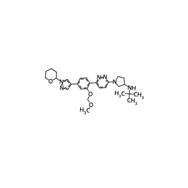 COCOc1cc(-c2cnn(C3CCCCO3)c2)ccc1-c1ccc(N2CCC(NC(C)(C)C)C2)nn1